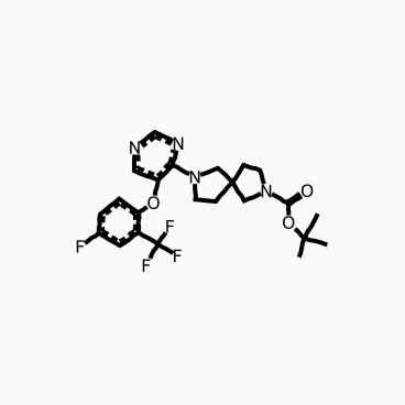 CC(C)(C)OC(=O)N1CCC2(CCN(c3ncncc3Oc3ccc(F)cc3C(F)(F)F)C2)C1